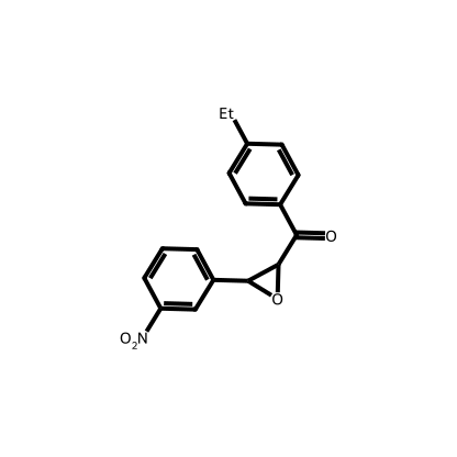 CCc1ccc(C(=O)C2OC2c2cccc([N+](=O)[O-])c2)cc1